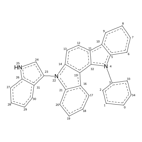 c1ccc(-n2c3ccccc3c3ccc4c(c5ccccc5n4-c4c[nH]c5ccccc45)c32)cc1